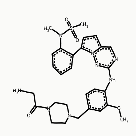 COc1cc(CN2CCN(C(=O)CN)CC2)ccc1Nc1ncc2ccc(-c3ccccc3N(C)S(C)(=O)=O)n2n1